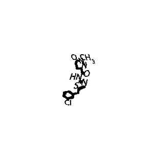 CN1N=C(C(=O)Nc2ncc(Cc3cccc(Cl)c3)s2)CCC1=O